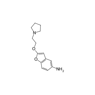 Nc1ccc2oc(OCCN3CCCC3)cc2c1